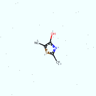 N#Cc1sc(C(F)(F)F)nc1O